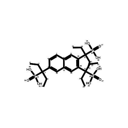 CCC(CC)(c1ccc2cc(C(CC)(CC)P(=O)(O)O)c(C(CC)(CC)P(=O)(O)O)cc2c1)P(=O)(O)O